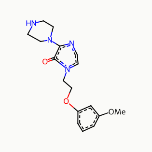 COc1cccc(OCCn2ccnc(N3CCNCC3)c2=O)c1